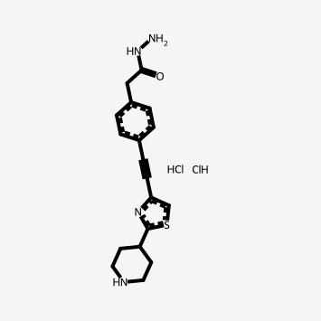 Cl.Cl.NNC(=O)Cc1ccc(C#Cc2csc(C3CCNCC3)n2)cc1